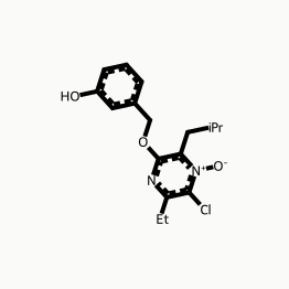 CCc1nc(OCc2cccc(O)c2)c(CC(C)C)[n+]([O-])c1Cl